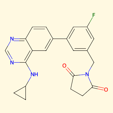 O=C1CCC(=O)N1Cc1cc(F)cc(-c2ccc3ncnc(NC4CC4)c3c2)c1